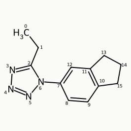 CCc1nnnn1-c1ccc2c(c1)CCC2